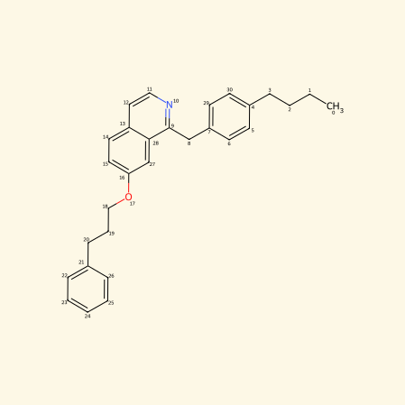 CCCCc1ccc(Cc2nccc3ccc(OCCCc4ccccc4)cc23)cc1